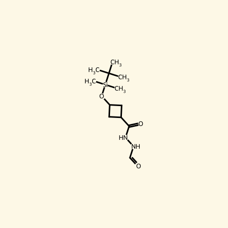 CC(C)(C)[Si](C)(C)OC1CC(C(=O)NNC=O)C1